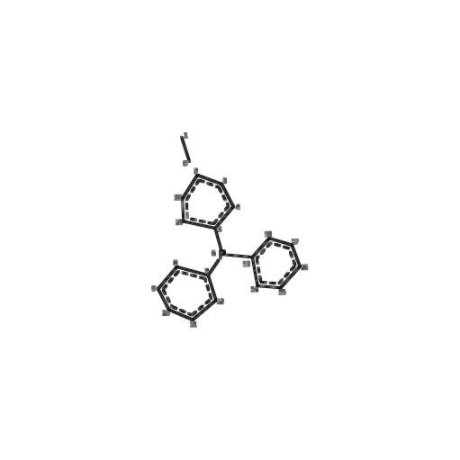 CC.c1ccc(P(c2ccccc2)c2ccccc2)cc1